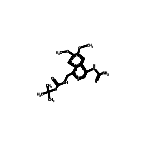 COc1cc2c(NC(N)=S)cnc(CNC(=O)OC(C)(C)C)c2cc1OC